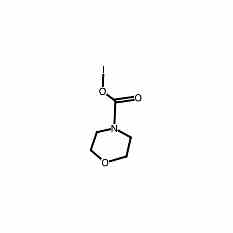 O=C(OI)N1CCOCC1